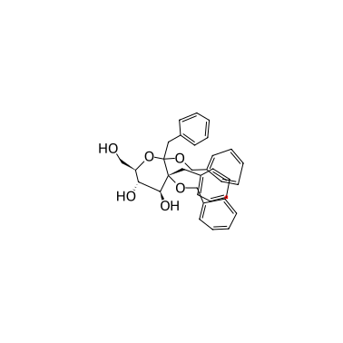 OC[C@H]1OC(Cc2ccccc2)(OCc2ccccc2)[C@](Cc2ccccc2)(OCc2ccccc2)[C@@H](O)[C@@H]1O